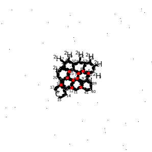 [2H]c1c([2H])c([2H])c2c(-c3cccc4c5ccccc5c5ccccc5c34)c3c(-c4ccccc4-c4cccc5ccccc45)c([2H])c([2H])c([2H])c3c([2H])c2c1[2H]